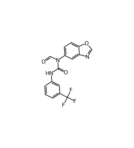 O=CN(C(=O)Nc1cccc(C(F)(F)F)c1)c1ccc2ocnc2c1